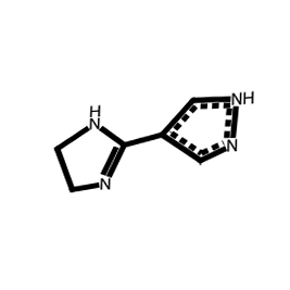 [c]1n[nH]cc1C1=NCCN1